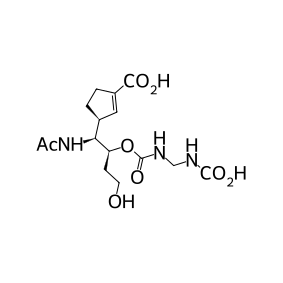 CC(=O)N[C@@H]([C@@H]1C=C(C(=O)O)CC1)[C@H](CCO)OC(=O)NCNC(=O)O